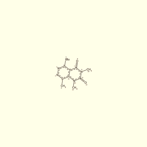 Cc1nnc(C(C)(C)C)c2c(=O)n(C)c(=O)n(C)c12